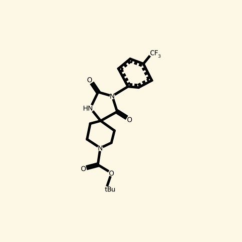 CC(C)(C)OC(=O)N1CCC2(CC1)NC(=O)N(c1ccc(C(F)(F)F)cc1)C2=O